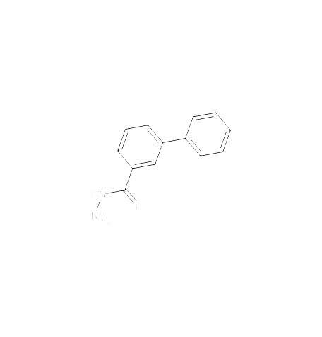 NNC(=O)c1cccc(-c2ccccc2)c1